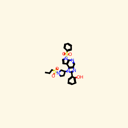 CCCS(=O)(=O)N1CCC(n2c(-c3ccccc3O)nc3cnc4c(ccn4S(=O)(=O)c4ccccc4)c32)C1